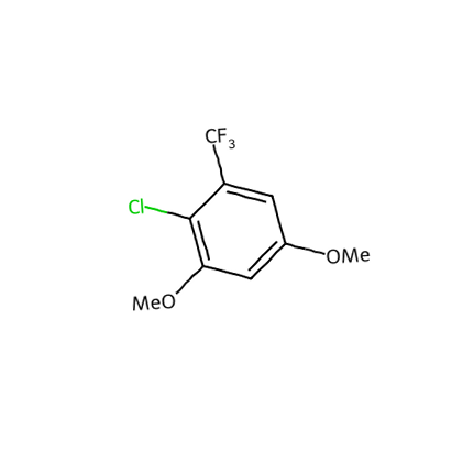 COc1cc(OC)c(Cl)c(C(F)(F)F)c1